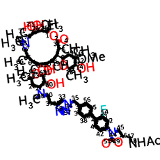 CC[C@H]1OC(=O)[C@H](C)[C@@H](C2C[C@@](C)(OC)[C@@H](O)[C@H](C)O2)[C@H](C)[C@@H](O[C@@H]2O[C@H](C)C[C@H](N(C)CCc3cn(Cc4ccc(-c5ccc(N6C[C@H](CNC(C)=O)OC6=O)cc5F)cc4)nn3)[C@H]2O)[C@](C)(O)C[C@@H](C)CN(C)[C@H](C)[C@@H](O)[C@]1(C)O